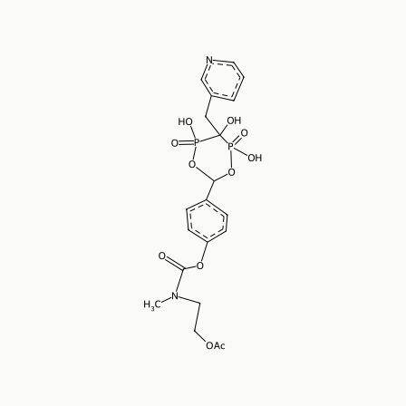 CC(=O)OCCN(C)C(=O)Oc1ccc(C2OP(=O)(O)C(O)(Cc3cccnc3)P(=O)(O)O2)cc1